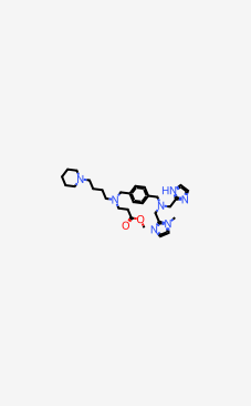 COC(=O)CCN(CCCCN1CCCCC1)Cc1ccc(CN(Cc2ncc[nH]2)Cc2nccn2C)cc1